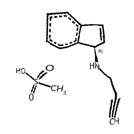 C#CCN[C@@H]1C=Cc2ccccc21.CS(=O)(=O)O